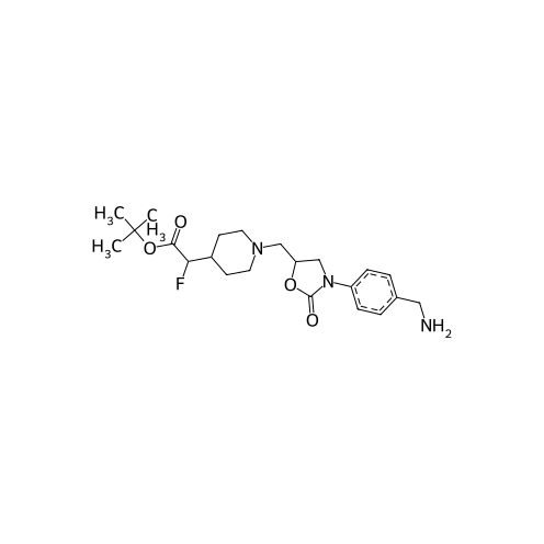 CC(C)(C)OC(=O)C(F)C1CCN(CC2CN(c3ccc(CN)cc3)C(=O)O2)CC1